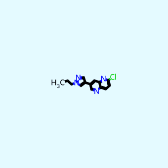 CCCn1cc(-c2cnc3ccc(Cl)nc3c2)cn1